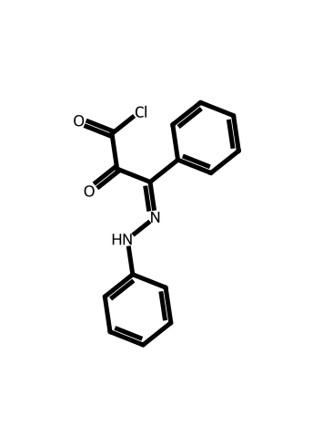 O=C(Cl)C(=O)C(=NNc1ccccc1)c1ccccc1